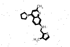 Cc1cc(N2CCCC2)c2ccc(NCc3sccc3C)cc2n1